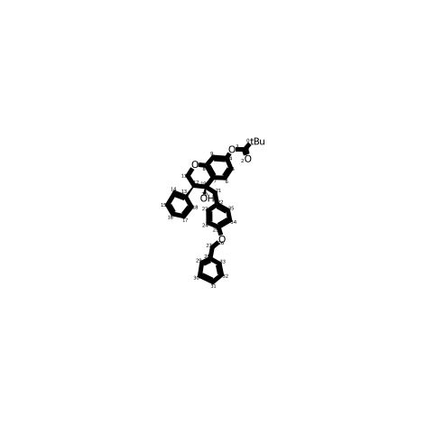 CC(C)(C)C(=O)Oc1ccc2c(c1)OC[C@H](c1ccccc1)[C@@]2(O)Cc1ccc(OCc2ccccc2)cc1